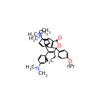 C=CC(=C(c1ccc(N(C)C)cc1)c1ccc(N(C)C)cc1)C1(c2ccc(OCCC)cc2)OC(=O)c2cc(N(C)C)ccc21